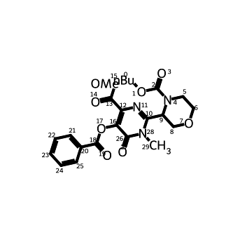 CCCCOC(=O)N1CCOCC1c1nc(C(=O)OC)c(OC(=O)c2ccccc2)c(=O)n1C